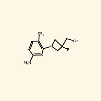 Nc1ncc(C(F)(F)F)c(N2CC(F)(CO)C2)n1